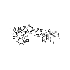 [2H]C([2H])([2H])N1C(=O)c2cccc(Cl)c2[C@H]2C[C@@H]1c1nc3ccc(-c4cnc(C(C)(C)N[S+]([O-])C(C)(C)C)nc4)cc3n12